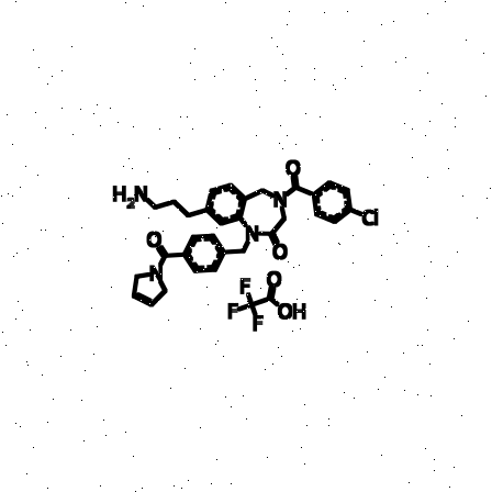 NCCCc1ccc2c(c1)N(Cc1ccc(C(=O)N3CC=CC3)cc1)C(=O)CN(C(=O)c1ccc(Cl)cc1)C2.O=C(O)C(F)(F)F